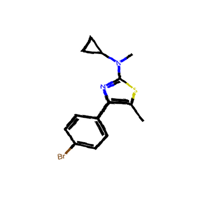 Cc1sc(N(C)C2CC2)nc1-c1ccc(Br)cc1